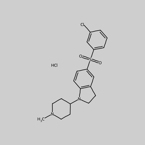 CN1CCC(N2CCc3cc(S(=O)(=O)c4cccc(Cl)c4)ccc32)CC1.Cl